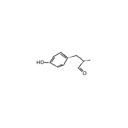 CC(C=O)Cc1ccc(O)cc1